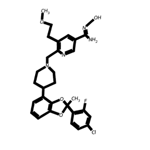 COCCc1cc(C(N)=NO)cnc1CN1CCC(c2cccc3c2OC(C)(c2ccc(Cl)cc2F)O3)CC1